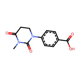 CN1C(=O)CCN(c2ccc(C(=O)O)cc2)C1=O